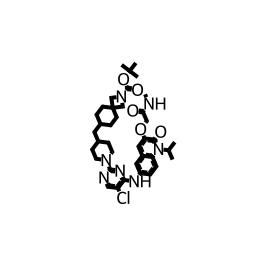 CNC(=O)COc1cc2cc(Nc3nc(N4CCC(CC5CCC6(CC5)CN(C(=O)OC(C)(C)C)C6)CC4)ncc3Cl)ccc2n(C(C)C)c1=O